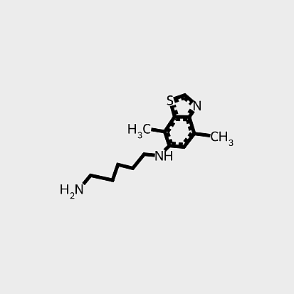 Cc1cc(NCCCCCN)c(C)c2scnc12